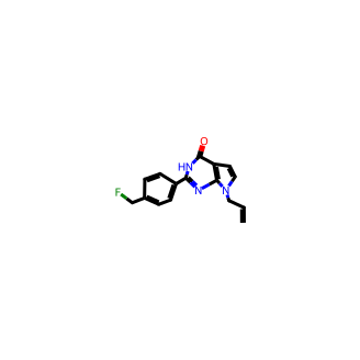 C=CCn1ccc2c(=O)[nH]c(-c3ccc(CF)cc3)nc21